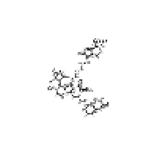 Cc1nn(C)c(C)c1-c1c(Cl)ccc2c(CCCOc3cccc4cc(F)ccc34)c(C(=O)OC(C)(C)C)n(CCOCCCn3c(C)nc4c(C(=O)O)cccc43)c12